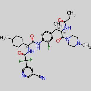 CCC(=O)N[C@@H](C(=O)N1CCN(C)CC1)[C@@H](C)c1ccc(NC(=O)[C@@H](NC(=O)C(F)(F)c2cncc(C#N)c2)[C@H]2CC[C@H](C)CC2)c(F)c1